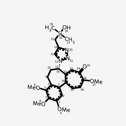 COc1cc2c(c(OC)c1OC)CC[C@H](n1cc(C[Si](C)(C)O)nn1)c1cc(=O)c(OC)ccc1-2